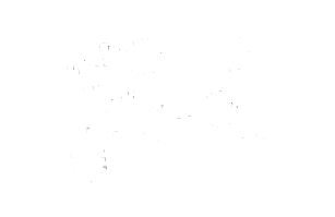 CC1(C)c2ccccc2N(c2cccc(-c3cc(-c4ccccc4)nc(-c4ccccc4)c3)c2)c2c1ccc1c2oc2ccccc21